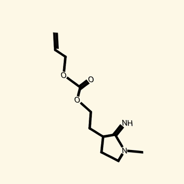 C=CCOC(=O)OCCC1CCN(C)C1=N